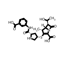 CC(O)[C@H]1C(=O)N2C(C(=O)O)=C(S[C@@H]3CN[C@H](C(=O)Nc4cccc(C(=O)O)c4)C3)[C@H](C)[C@H]12